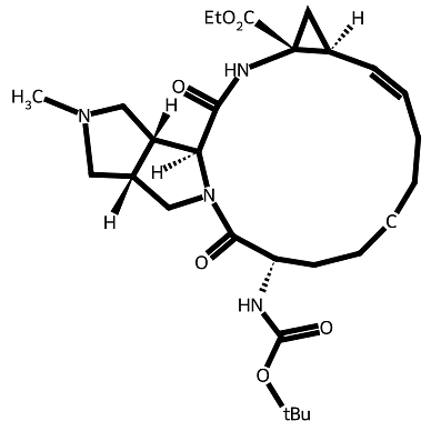 CCOC(=O)[C@@]12C[C@H]1/C=C\CCCCC[C@H](NC(=O)OC(C)(C)C)C(=O)N1C[C@@H]3CN(C)C[C@@H]3[C@H]1C(=O)N2